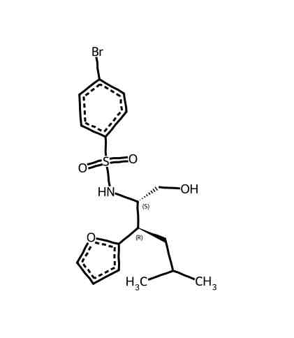 CC(C)C[C@@H](c1ccco1)[C@@H](CO)NS(=O)(=O)c1ccc(Br)cc1